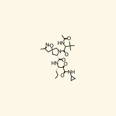 CCC[C@H](NC(=O)[C@@H]1C[C@]2(CC(C)=NO2)CN1C(=O)[C@@H](NC(C)=O)C(C)(C)C)C(=O)C(=O)NC1CC1